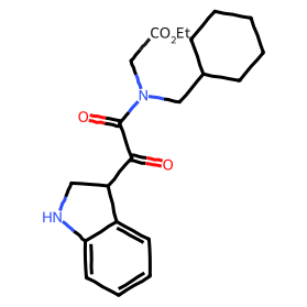 CCOC(=O)CN(CC1CCCCC1)C(=O)C(=O)C1CNc2ccccc21